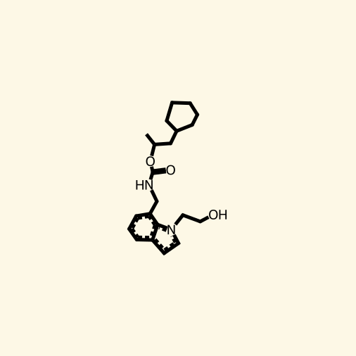 CC(CC1CCCCC1)OC(=O)NCc1cccc2ccn(CCO)c12